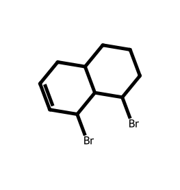 BrC1C=CCC2CCCC(Br)C12